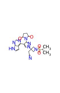 CC(C)S(=O)(=O)N1CC(CC#N)(n2cc(-c3ncnc4[nH]ccc34)c(N3C(=O)CCC3=O)n2)C1